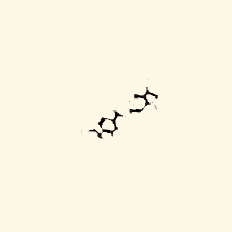 CCn1cc(Cl)c2cnc(NC(=O)c3ccc(C(C)(O)CO)c(C)c3)cc21